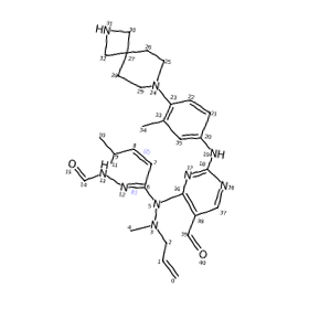 C=CCN(C)N(C(/C=C\C(C)C)=N/NC=O)c1nc(Nc2ccc(N3CCC4(CC3)CNC4)c(C)c2)ncc1C=O